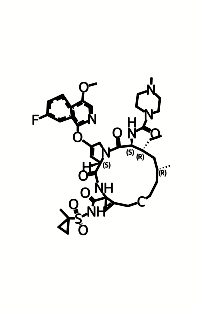 CC[C@@H]1C[C@H](C)CCCCC2=CC2(C(=O)NS(=O)(=O)C2(C)CC2)NC(=O)[C@@H]2C=C(Oc3ncc(OC)c4ccc(F)cc34)CN2C(=O)[C@H]1NC(=O)N1CCN(C)CC1